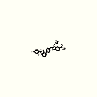 C[C@]1(c2ccc(Cl)cc2F)Oc2cccc(-c3ccc(Cc4nc5ccc(C(=O)O)cc5n4C[C@@H]4CCO4)cc3)c2O1